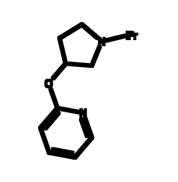 CC(C)N1CCC(Oc2ccccn2)C1